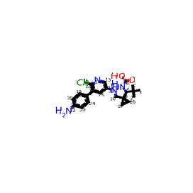 CC(C)(C)C(NC(=O)O)C1(CNc2cnc(Cl)c(-c3ccc(N)cc3)c2)CC1